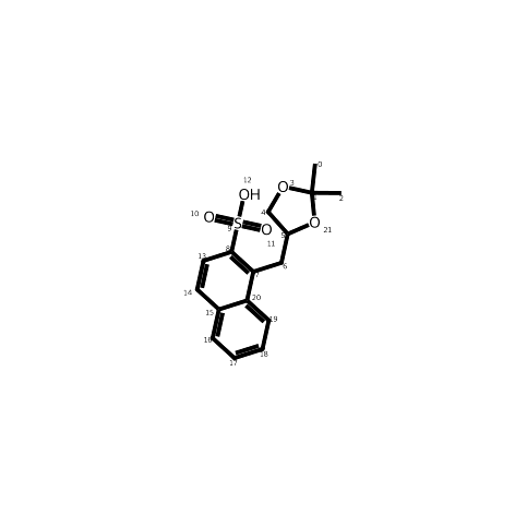 CC1(C)OCC(Cc2c(S(=O)(=O)O)ccc3ccccc23)O1